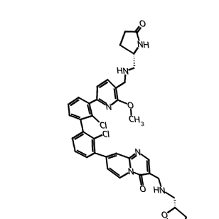 COc1nc(-c2cccc(-c3cccc(-c4ccn5c(=O)c(CNC[C@@H]6CCCO6)cnc5c4)c3Cl)c2Cl)ccc1CNC[C@@H]1CCC(=O)N1